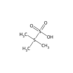 CS(C)(C)S(=O)(=O)O